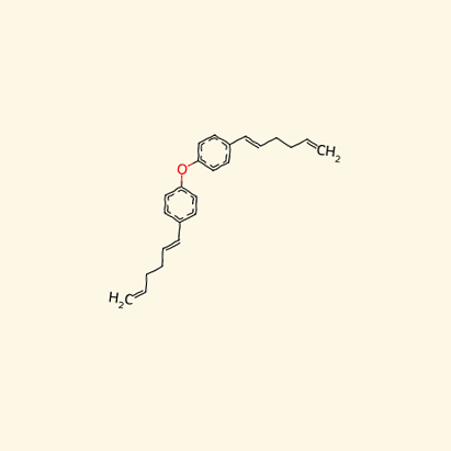 C=CCCC=Cc1ccc(Oc2ccc(C=CCCC=C)cc2)cc1